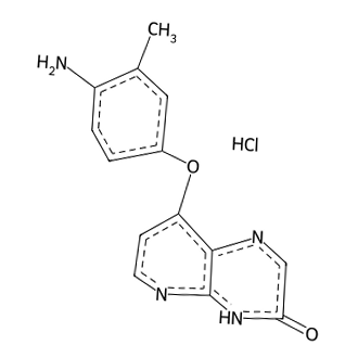 Cc1cc(Oc2ccnc3[nH]c(=O)cnc23)ccc1N.Cl